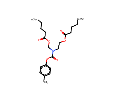 CCCCCCCCCCCCCC(=O)OCCN(COC(=O)CCCCCCCCCCCCC)C(=O)Oc1ccc([N+](=O)[O-])cc1